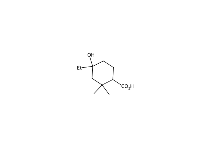 CCC1(O)CCC(C(=O)O)C(C)(C)C1